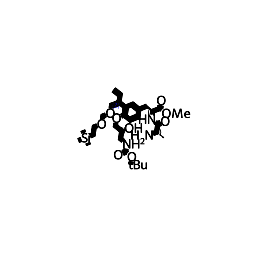 C=C/C(=C/OCOCC[Si](C)(C)C)c1cc(C[C@H](NC(=O)[C@H](C)N)C(=O)OC)ccc1OC[C@H](O)CNC(=O)OC(C)(C)C